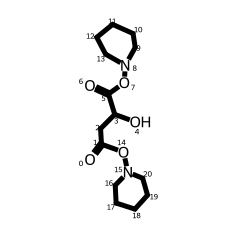 O=C(CC(O)C(=O)ON1CCCCC1)ON1CCCCC1